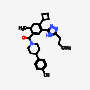 COCCc1nnc(C2=C(C3CCC3)CC(C)C(C(=O)N3CCC(c4ccc(C#N)cc4)CC3)=C2)[nH]1